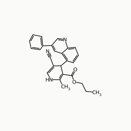 CCCOC(=O)C1=C(C)NC=C(C#N)C1c1cccc2ncc(-c3ccccc3)cc12